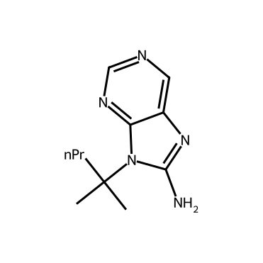 CCCC(C)(C)n1c(N)nc2cncnc21